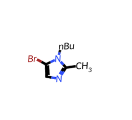 CCCCn1c(Br)cnc1C